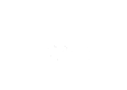 CC(C)SCNc1ccccn1